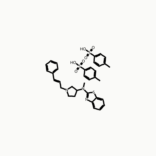 CN(c1nc2ccccc2s1)C1CCN(CC=Cc2ccccc2)C1.Cc1ccc(S(=O)(=O)O)cc1.Cc1ccc(S(=O)(=O)O)cc1